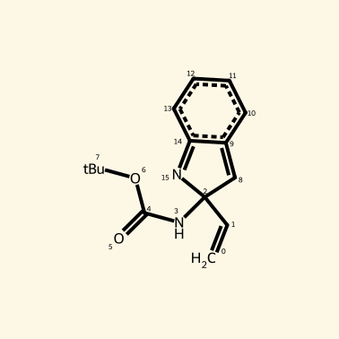 C=CC1(NC(=O)OC(C)(C)C)C=c2ccccc2=N1